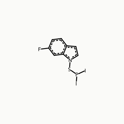 Fc1ccc2ccn(SP(I)I)c2c1